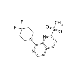 CS(=O)(=O)c1ncc2ccnc(N3CCC(F)(F)CC3)c2n1